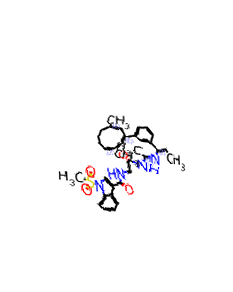 C/C=C(\N=C(/C)NC(=O)CNC(=O)c1cn(S(C)(=O)=O)c2ccccc12)c1cccc(C2=C/C(C)=C\CCC/C(C)=C\2)c1